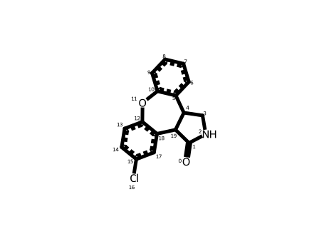 O=C1NCC2c3ccccc3Oc3ccc(Cl)cc3C12